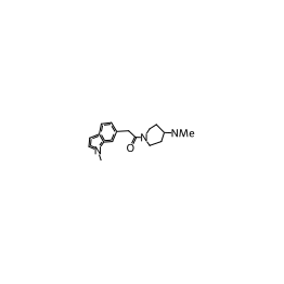 CNC1CCN(C(=O)Cc2ccc3ccn(C)c3c2)CC1